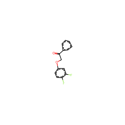 O=C(COc1ccc(F)c(F)c1)c1ccccc1